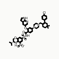 CC(C)[C@@H]1COc2cc(S(=O)(=O)NC(=O)c3ccc(N4CCN(CC5=C(c6ccc(Cl)cc6)CC(C)(C)CC5)CC4)cc3Oc3cnc4[nH]ccc4c3)cc([N+](=O)[O-])c2N1